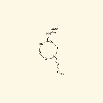 CCCOCCOCCN1CCOCCOCCNCC(CCNC(=O)OC)OCCOCC1